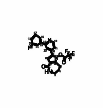 O=C1NCCCc2c1cc(-c1ccnc(-c3cccc(F)c3)c1)n2OC(=O)C(F)(F)F